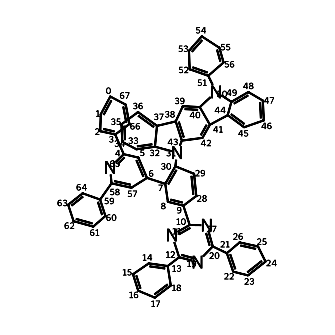 c1ccc(-c2cc(-c3cc(-c4nc(-c5ccccc5)nc(-c5ccccc5)n4)ccc3-n3c4ccccc4c4cc5c(cc43)c3ccccc3n5-c3ccccc3)cc(-c3ccccc3)n2)cc1